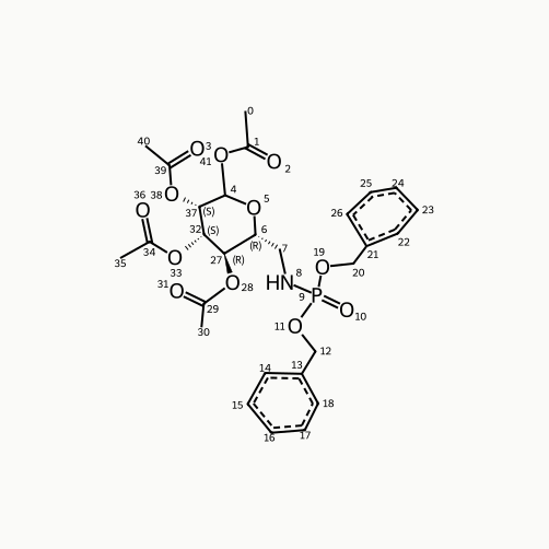 CC(=O)OC1O[C@H](CNP(=O)(OCc2ccccc2)OCc2ccccc2)[C@@H](OC(C)=O)[C@H](OC(C)=O)[C@@H]1OC(C)=O